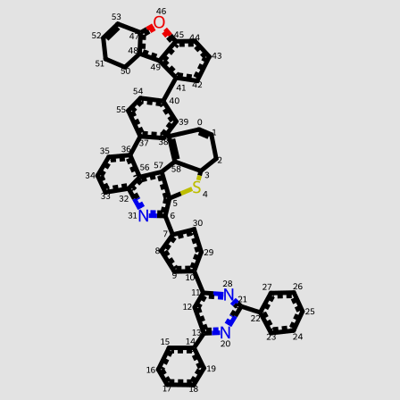 C1=CCC2Sc3c(-c4ccc(-c5cc(-c6ccccc6)nc(-c6ccccc6)n5)cc4)nc4cccc(-c5ccc(-c6cccc7oc8c(c67)CCC=C8)cc5)c4c3C2=C1